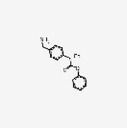 NCc1ccc(CC(=O)Oc2ccccc2)cc1.[Co]